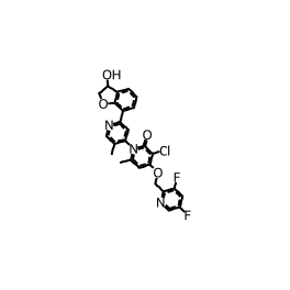 Cc1cnc(-c2cccc3c2OCC3O)cc1-n1c(C)cc(OCc2ncc(F)cc2F)c(Cl)c1=O